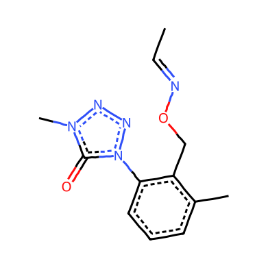 CC=NOCc1c(C)cccc1-n1nnn(C)c1=O